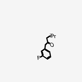 CC(C)CC(=O)Cc1cccc(F)c1